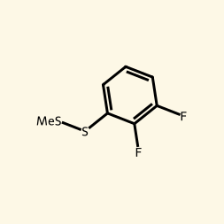 CSSc1cccc(F)c1F